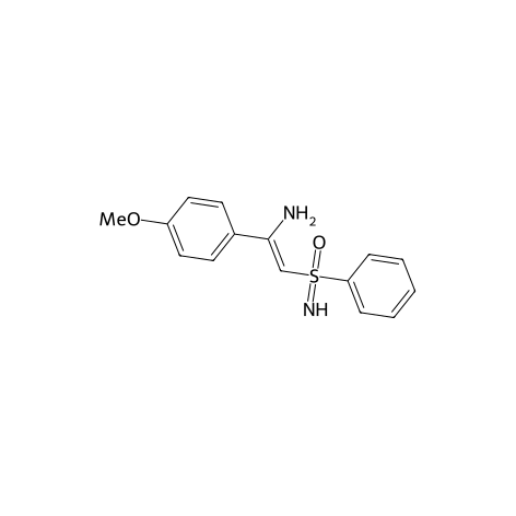 COc1ccc(C(N)=CS(=N)(=O)c2ccccc2)cc1